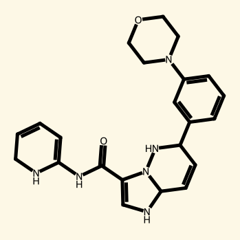 O=C(NC1=CC=CCN1)C1=CNC2C=CC(c3cccc(N4CCOCC4)c3)NN12